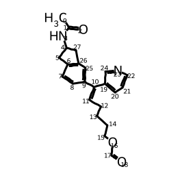 CC(=O)NC1Cc2ccc(C(=CCCCCOC=O)c3cccnc3)cc2C1